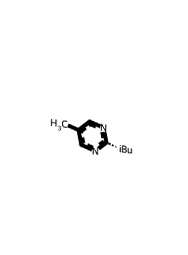 CC[C@@H](C)c1ncc(C)cn1